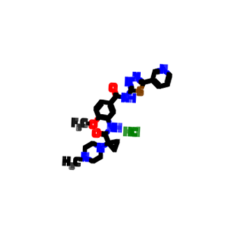 CN1CCN(C2(C(=O)Nc3cc(C(=O)Nc4nnc(-c5cccnc5)s4)ccc3OC(F)(F)F)CC2)CC1.Cl